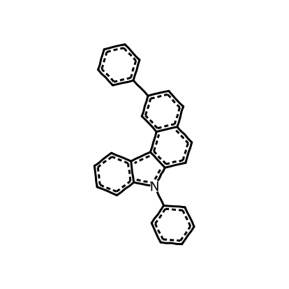 c1ccc(-c2ccc3ccc4c(c3c2)c2ccccc2n4-c2ccccc2)cc1